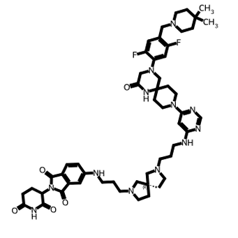 CC1(C)CCN(Cc2cc(F)c(N3CC(=O)NC4(CCN(c5cc(NCCCN6CC[C@@]7(CCN(CCCNc8ccc9c(c8)C(=O)N(C8CCC(=O)NC8=O)C9=O)C7)C6)ncn5)CC4)C3)cc2F)CC1